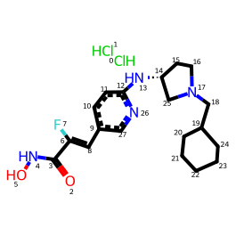 Cl.Cl.O=C(NO)C(F)=Cc1ccc(N[C@@H]2CCN(CC3CCCCC3)C2)nc1